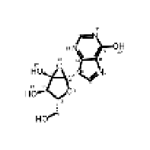 OC[C@H]1O[C@]2(n3cnc4c(O)ncnc43)O[C@@]2(O)[C@@H]1O